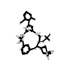 Cc1cccc(C)c1-c1cc2nc(n1)NS(=O)(=O)c1cccc(c1)CC(C1CS(=O)(=O)C1)[C@H](CC(C)(C)C)CO2